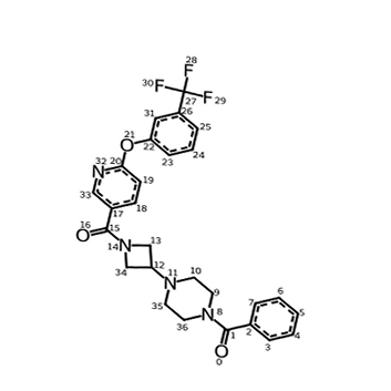 O=C(c1ccccc1)N1CCN(C2CN(C(=O)c3ccc(Oc4cccc(C(F)(F)F)c4)nc3)C2)CC1